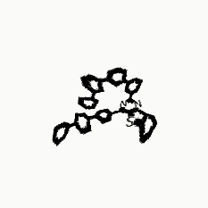 c1ccc(-c2ccc(-c3ccc(-c4nc(-c5cccc(-c6cccc(-c7cccc(-c8ccccc8)c7)c6)c5)nc5c4sc4ccccc45)cc3)cc2)cc1